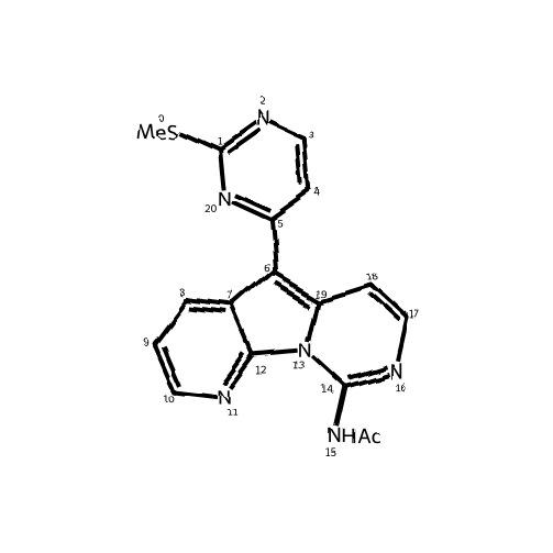 CSc1nccc(-c2c3cccnc3n3c(NC(C)=O)nccc23)n1